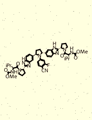 COC(=O)N[C@H](C(=O)N1CCC[C@H]1c1nc2cc([C@H]3CC[C@H](c4ccc5nc([C@@H]6CCCN6C(=O)[C@@H](NC(=O)OC)C(C)C)[nH]c5c4)N3c3ccc(C#N)c(F)c3)ccc2[nH]1)C(C)C